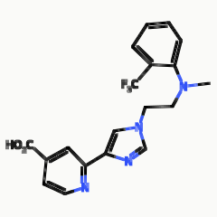 CN(CCn1cnc(-c2cc(C(=O)O)ccn2)c1)c1ccccc1C(F)(F)F